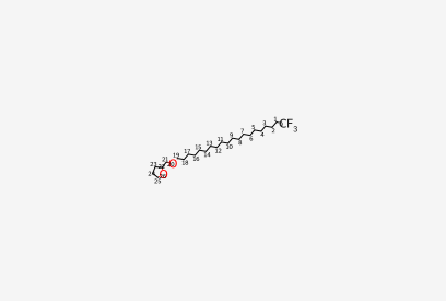 FC(F)(F)CCCCCCCCCCCCCCCCCCCOCC1CCCO1